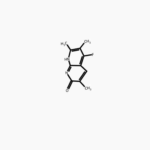 Cc1[nH]c2nc(=O)c(C)cc-2c(F)c1C